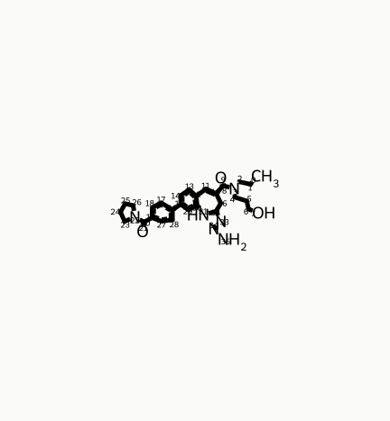 CCCN(CCCO)C(=O)C1=Cc2ccc(-c3ccc(C(=O)N4CCCC4)cc3)cc2NC(N=NN)C1